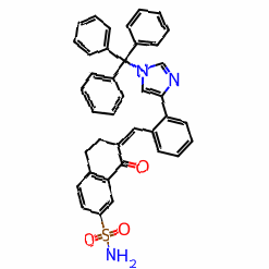 NS(=O)(=O)c1ccc2c(c1)C(=O)C(=Cc1ccccc1-c1cn(C(c3ccccc3)(c3ccccc3)c3ccccc3)cn1)CC2